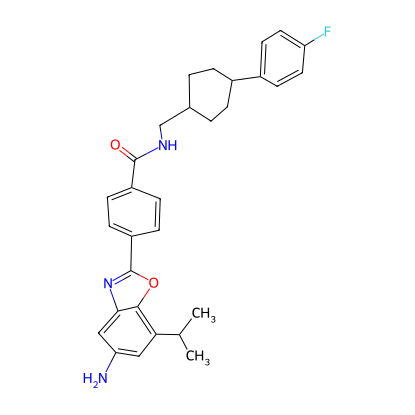 CC(C)c1cc(N)cc2nc(-c3ccc(C(=O)NCC4CCC(c5ccc(F)cc5)CC4)cc3)oc12